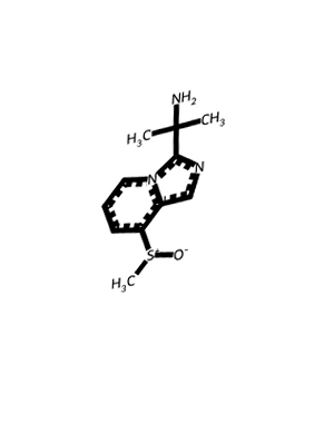 C[S+]([O-])c1cccn2c(C(C)(C)N)ncc12